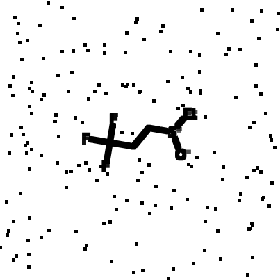 CC[S+]([O-])CCC(F)(F)F